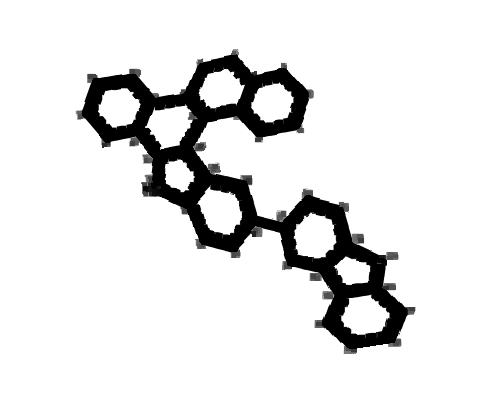 c1ccc2c(c1)ccc1c3ccccc3c3[nH]c4ccc(-c5ccc6sc7ccccc7c6c5)cc4c3c21